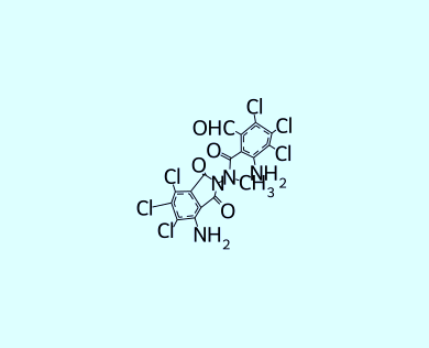 CN(C(=O)c1c(N)c(Cl)c(Cl)c(Cl)c1C=O)N1C(=O)c2c(N)c(Cl)c(Cl)c(Cl)c2C1=O